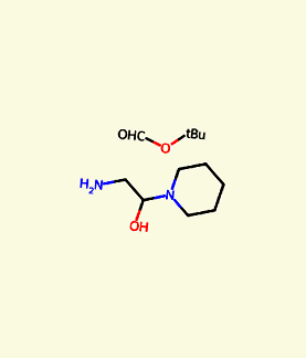 CC(C)(C)OC=O.NCC(O)N1CCCCC1